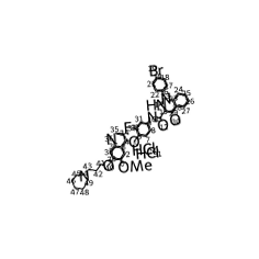 COc1cc2c(Oc3ccc(NC(=O)c4nn(-c5ccc(Br)cc5)c5ccccc5c4=O)cc3F)ccnc2cc1OCCCN1CCCCC1.Cl.Cl